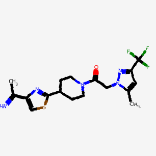 CC(=N)c1csc(C2CCN(C(=O)Cn3nc(C(F)(F)F)cc3C)CC2)n1